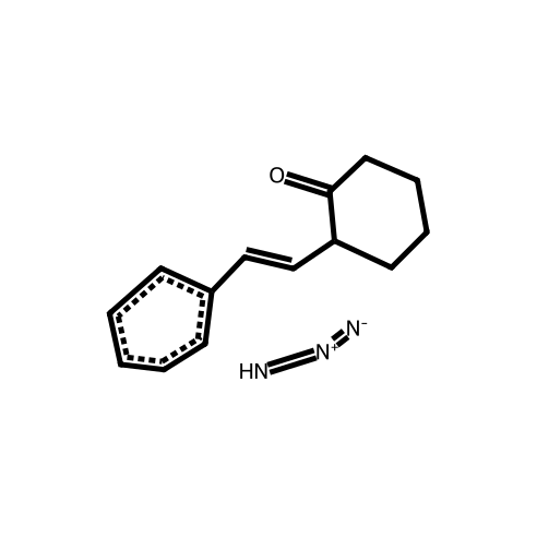 O=C1CCCCC1C=Cc1ccccc1.[N-]=[N+]=N